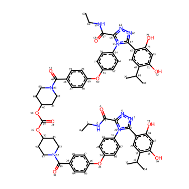 CCNC(=O)c1nnc(-c2cc(C(C)C)c(O)cc2O)n1-c1ccc(Oc2ccc(C(=O)N3CCC(OC(=O)OC4CCN(C(=O)c5ccc(Oc6ccc(-n7c(C(=O)NCC)nnc7-c7cc(C(C)C)c(O)cc7O)cc6)cc5)CC4)CC3)cc2)cc1